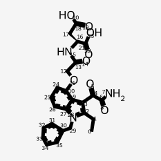 CCc1c(C(=O)C(N)=O)c2c(OCC(=O)N[C@@H](CC(=O)O)C(=O)O)cccc2n1Cc1ccccc1